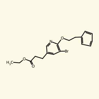 CCOC(=O)CCc1cnc(OCCc2ccccc2)c(Br)c1